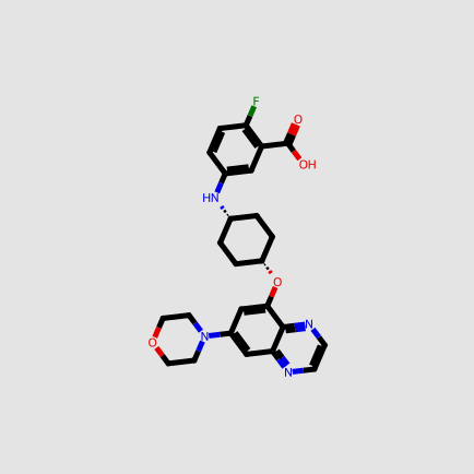 O=C(O)c1cc(N[C@H]2CC[C@@H](Oc3cc(N4CCOCC4)cc4nccnc34)CC2)ccc1F